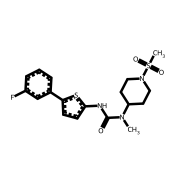 CN(C(=O)Nc1ccc(-c2cccc(F)c2)s1)C1CCN(S(C)(=O)=O)CC1